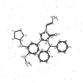 CC=Cn1cc(-c2ccc(OC)c(OC3CCCC3)c2)n(C(c2ccccc2)c2ccccc2)c1=O